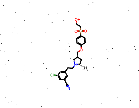 C[C@@H]1C[C@H](COc2ccc(S(=O)(=O)CCO)cc2)CN1CCc1cc(Cl)cc(C#N)c1